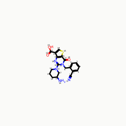 N#Cc1ccccc1Cn1c(N2CCCC(N)C2)nc2c(C(=O)O)csc2c1=O